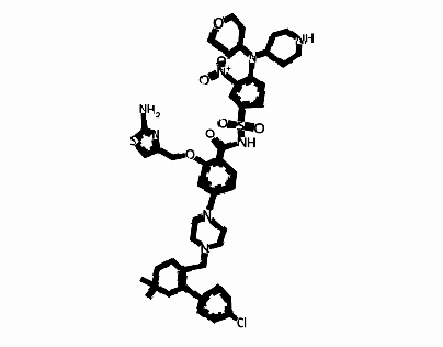 CC1(C)CCC(CN2CCN(c3ccc(C(=O)NS(=O)(=O)c4ccc(N(C5CCNCC5)C5CCOCC5)c([N+](=O)[O-])c4)c(OCc4csc(N)n4)c3)CC2)=C(c2ccc(Cl)cc2)C1